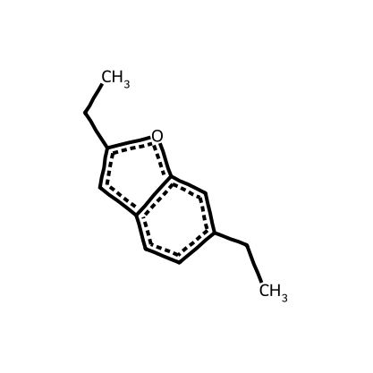 CCc1ccc2cc(CC)oc2c1